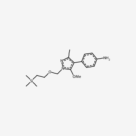 COc1c(-c2ccc(N)cc2)c(C)nn1COCC[Si](C)(C)C